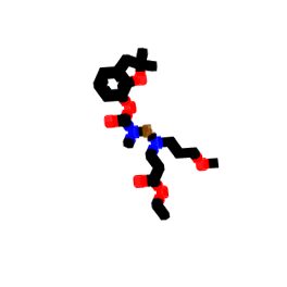 CCOC(=O)CCN(CCCOC)SN(C)C(=O)Oc1cccc2c1OC(C)(C)C2